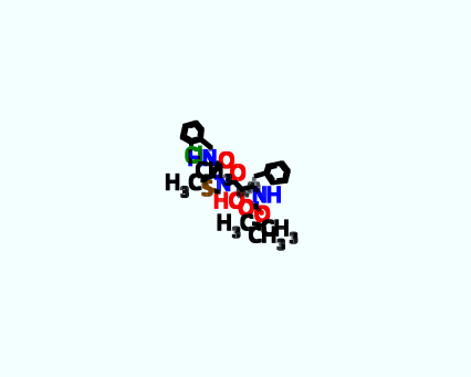 CC(C)(C)OC(=O)N[C@@H](Cc1ccccc1)[C@H](O)C(=O)N1CSC(C)(C)C1C(=O)NCc1ccccc1Cl